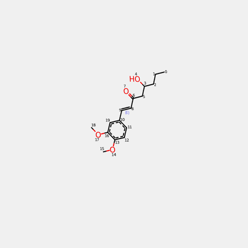 CCCC(O)CC(=O)/C=C/c1ccc(OC)c(OC)c1